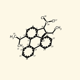 CCC1=Cc2c(ccc(C(C)C)c2-c2ccccc2-c2ccccc2)[CH]1[Zr]([Cl])[Cl]